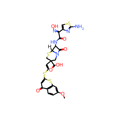 COc1ccc2c(=O)cc(SC=CC3(C(=O)O)CS[C@@H]4C(NC(=O)C(=NO)c5csc(N)n5)C(=O)N4C3)sc2c1